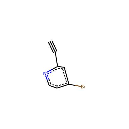 C#Cc1cc(Br)ccn1